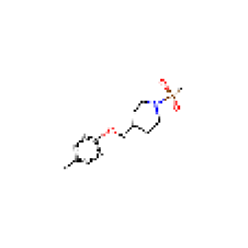 Cc1ccc(OCC2CCN(S(C)(=O)=O)CC2)cc1